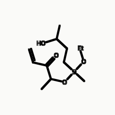 C=CC(=O)C(C)O[Si](C)(CCC(C)O)OCC